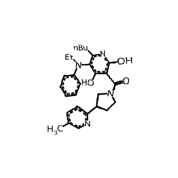 CCCCc1nc(O)c(C(=O)N2CCC(c3ccc(C)cn3)C2)c(O)c1N(CC)c1ccccc1